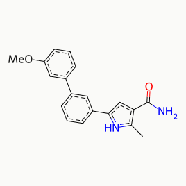 COc1cccc(-c2cccc(-c3cc(C(N)=O)c(C)[nH]3)c2)c1